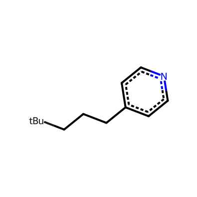 CC(C)(C)CCCc1ccncc1